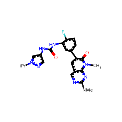 CNc1ncc2cc(-c3ccc(F)c(NC(=O)Nc4cnn(C(C)C)c4)c3)c(=O)n(C)c2n1